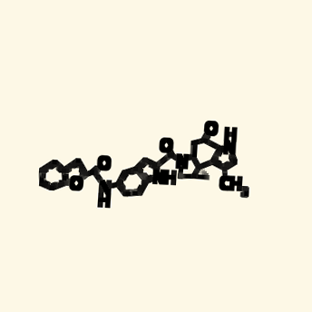 Cc1c[nH]c2c1[C@@]13CC1CN(C(=O)c1cc4cc(NC(=O)c5cc6ccccc6o5)ccc4[nH]1)C3=CC2=O